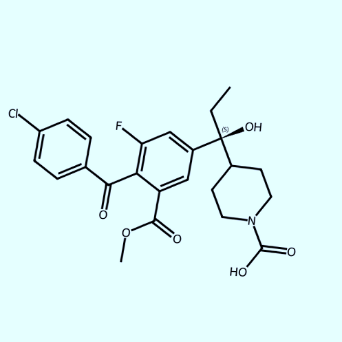 CC[C@@](O)(c1cc(F)c(C(=O)c2ccc(Cl)cc2)c(C(=O)OC)c1)C1CCN(C(=O)O)CC1